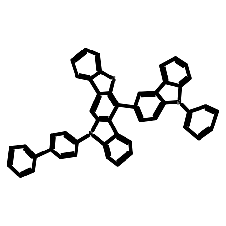 c1ccc(-c2ccc(-n3c4ccccc4c4c(-c5ccc6c(c5)c5ccccc5n6-c5ccccc5)c5sc6ccccc6c5cc43)cc2)cc1